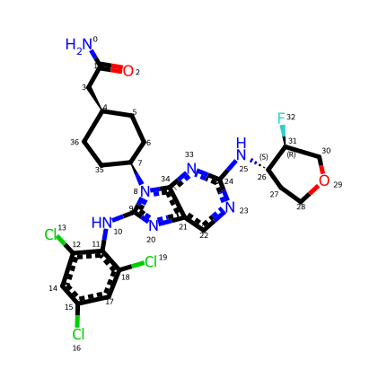 NC(=O)C[C@H]1CC[C@@H](n2c(Nc3c(Cl)cc(Cl)cc3Cl)nc3cnc(N[C@H]4CCOC[C@@H]4F)nc32)CC1